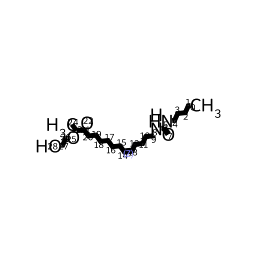 CCCCCNC(=O)NCCCC/C=C\CCCCCCC(=O)C(C)OCCO